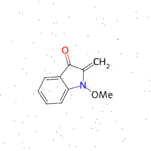 C=C1C(=O)c2ccccc2N1OC